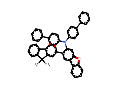 CC1(C)c2ccccc2-c2ccc(-c3cc4c(cc3N(c3ccc(-c5ccccc5)cc3)c3ccc(-c5ccccc5)cc3)oc3ccccc34)cc21